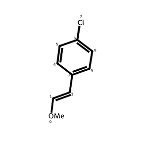 COC=Cc1ccc(Cl)cc1